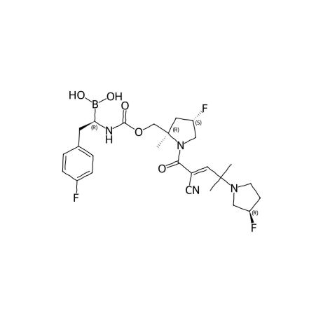 CC(C)(C=C(C#N)C(=O)N1C[C@@H](F)C[C@]1(C)COC(=O)N[C@@H](Cc1ccc(F)cc1)B(O)O)N1CC[C@@H](F)C1